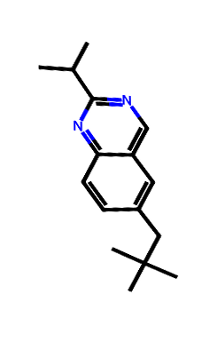 CC(C)c1ncc2cc(CC(C)(C)C)ccc2n1